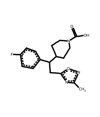 Cc1noc(CC(c2ccc(F)cc2)C2CCN(C(=O)O)CC2)n1